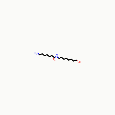 NCCCCCCC(O)NCCCCCCCCO